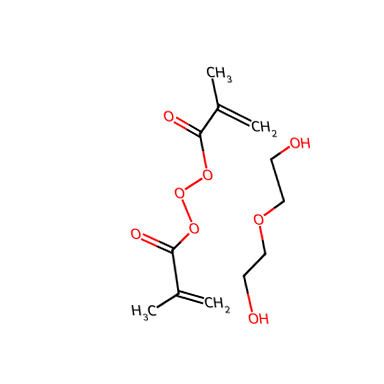 C=C(C)C(=O)OOOC(=O)C(=C)C.OCCOCCO